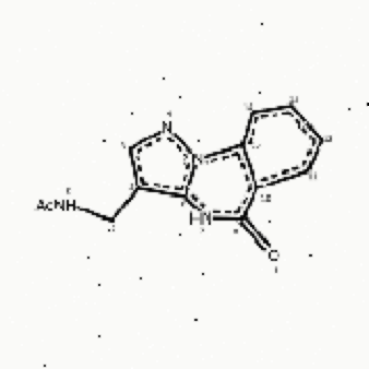 CC(=O)NCc1cnn2c1[nH]c(=O)c1ccccc12